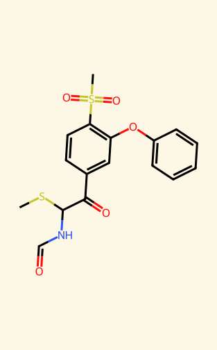 CSC(NC=O)C(=O)c1ccc(S(C)(=O)=O)c(Oc2ccccc2)c1